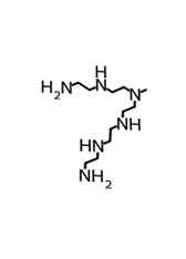 CN(CCNCCN)CCNCCNCCN